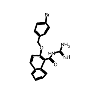 N=C(N)NC(=O)c1c(OCc2ccc(Br)cc2)ccc2ccccc12